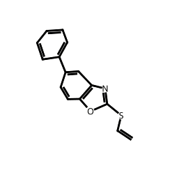 C=CSc1nc2cc(-c3ccccc3)ccc2o1